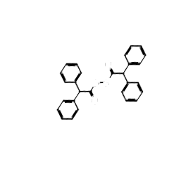 O=C(SSC(=O)C(c1ccccc1)c1ccccc1)C(c1ccccc1)c1ccccc1